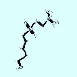 CN(C)C=NS(=O)(=O)CCCCCCl